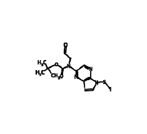 CC(C)(C)OC(=O)N(CC=O)c1cnc2c(ccn2SI)n1